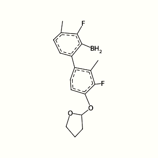 Bc1c(-c2ccc(OC3CCCO3)c(F)c2C)ccc(C)c1F